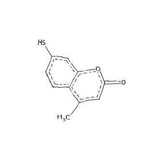 Cc1cc(=O)oc2cc(S)ccc12